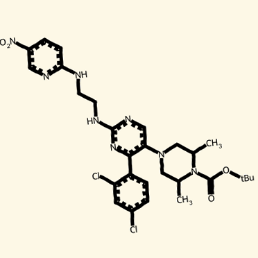 CC1CN(c2cnc(NCCNc3ccc([N+](=O)[O-])cn3)nc2-c2ccc(Cl)cc2Cl)CC(C)N1C(=O)OC(C)(C)C